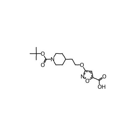 CC(C)(C)OC(=O)N1CCC(CCOc2cc(C(=O)O)on2)CC1